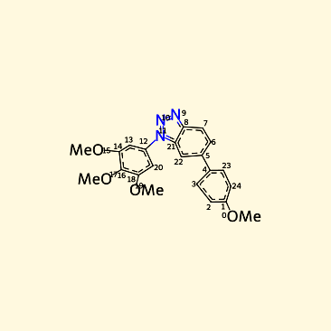 COc1ccc(-c2ccc3nnn(-c4cc(OC)c(OC)c(OC)c4)c3c2)cc1